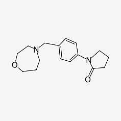 O=C1CCCN1c1ccc(CN2CCCOCC2)cc1